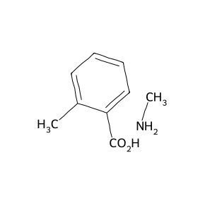 CN.Cc1ccccc1C(=O)O